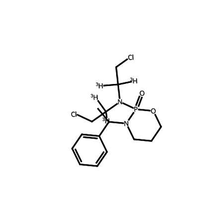 [3H]C([3H])(CCl)N(C([3H])([3H])CCl)P1(=O)OCCCN1C(C)c1ccccc1